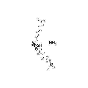 CC(C)CCCCCCCOP(=S)(S)OCCCCCCCC(C)C.N